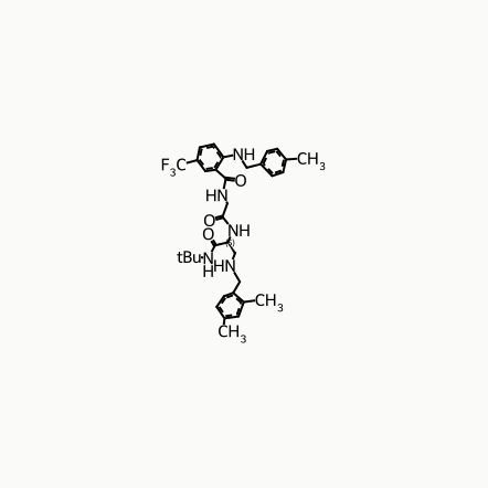 Cc1ccc(CNc2ccc(C(F)(F)F)cc2C(=O)NCC(=O)N[C@@H](CNCc2ccc(C)cc2C)C(=O)NC(C)(C)C)cc1